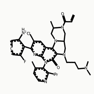 C=CC(=O)N1CC2CN(CCCN(C)C)c3c(c4cc(Cl)c(-c5c(N)cccc5F)nc4n(-c4c(C)ccnc4C(C)C)c3=O)N2CC1C